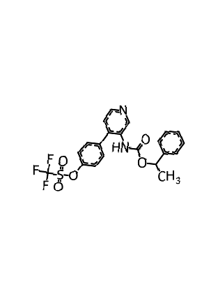 CC(OC(=O)Nc1cnccc1-c1ccc(OS(=O)(=O)C(F)(F)F)cc1)c1ccccc1